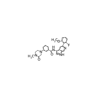 COc1cccc(F)c1-c1cc2c(NC(=O)c3cccc(N4CCN(C)C(=O)C4)c3)n[nH]c2cn1